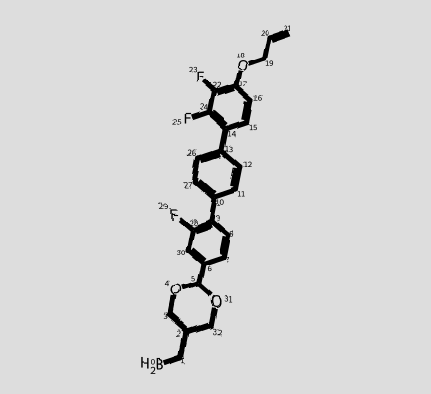 BCC1COC(c2ccc(-c3ccc(-c4ccc(OCC=C)c(F)c4F)cc3)c(F)c2)OC1